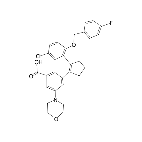 O=C(O)c1cc(C2=C(c3cc(Cl)ccc3OCc3ccc(F)cc3)CCC2)cc(N2CCOCC2)c1